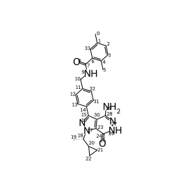 Cc1ccc(C)c(C(=O)NCc2ccc(-c3nn([C@@H](C)C4CC4)c4c(=O)[nH]nc(N)c34)cc2)c1